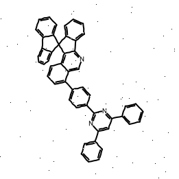 c1ccc(-c2cc(-c3ccccc3)nc(-c3ccc(-c4cccc5c6c(ncc45)-c4ccccc4C64c5ccccc5-c5ccccc54)cc3)n2)cc1